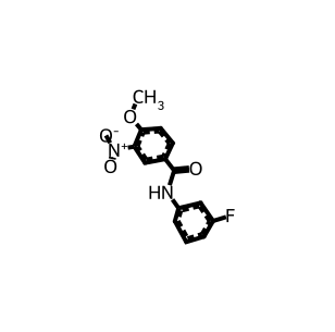 COc1ccc(C(=O)Nc2cccc(F)c2)cc1[N+](=O)[O-]